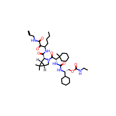 C=CCNC(=O)C(=O)C(CCCC)NC(=O)[C@@H]1[C@@H]2[C@H](CN1C(=O)[C@@H](NC(=O)N[C@H](COC(=O)NCC)C1CCCCC1)C1(C)CCCCC1)C2(C)C